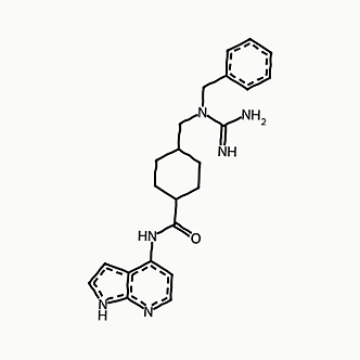 N=C(N)N(Cc1ccccc1)CC1CCC(C(=O)Nc2ccnc3[nH]ccc23)CC1